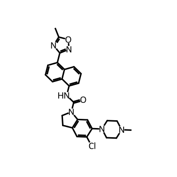 Cc1nc(-c2cccc3c(NC(=O)N4CCc5cc(Cl)c(N6CCN(C)CC6)cc54)cccc23)no1